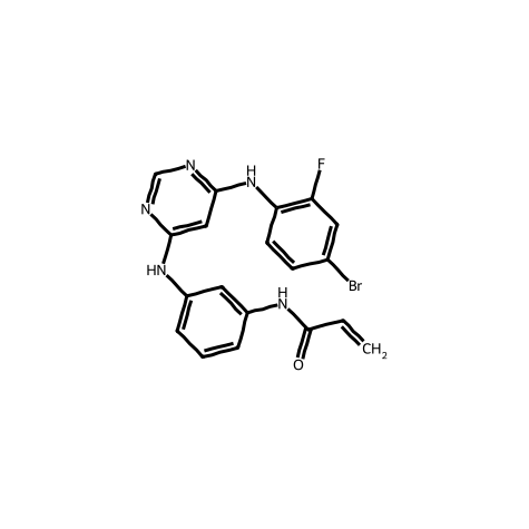 C=CC(=O)Nc1cccc(Nc2cc(Nc3ccc(Br)cc3F)ncn2)c1